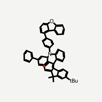 CC(C)(C)c1ccc2c(c1)C(C)(C)c1cccc(-c3ccccc3N(c3ccc(-c4cccc5oc6ccccc6c45)cc3)C3C=C(c4ccccc4)C=CC3)c1-2